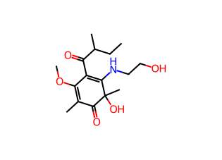 CCC(C)C(=O)C1=C(NCCO)C(C)(O)C(=O)C(C)=C1OC